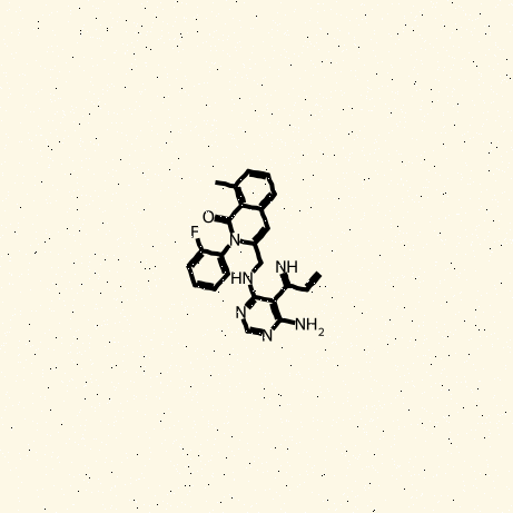 C=CC(=N)c1c(N)ncnc1NCc1cc2cccc(C)c2c(=O)n1-c1ccccc1F